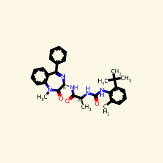 Cc1cccc(C(C)(C)C)c1NC(=O)N[C@@H](C)C(=O)N[C@H]1N=C(c2ccccc2)c2ccccc2N(C)C1=O